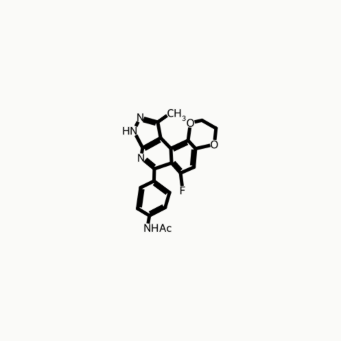 CC(=O)Nc1ccc(-c2nc3[nH]nc(C)c3c3c4c(cc(F)c23)OCCO4)cc1